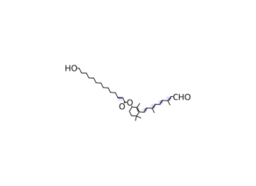 CC1=C(/C=C/C(C)=C/C=C/C(C)=C/C=O)C(C)(C)CCC1OC(=O)/C=C/CCCCCCCCCCCO